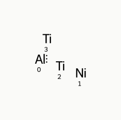 [Al].[Ni].[Ti].[Ti]